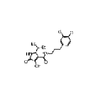 CCC(CC)C1NC(=O)C(O)=C1C(=O)NCCCc1ccc(Cl)c(Cl)c1